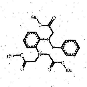 CC(C)(C)OC(=O)CN(CC(=O)OC(C)(C)C)c1ccccc1N(CC(=O)OC(C)(C)C)Cc1ccccc1